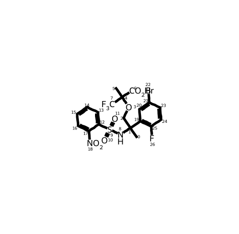 CC(COC(C)(C(=O)O)C(F)(F)F)(NS(=O)(=O)c1ccccc1[N+](=O)[O-])c1cc(Br)ccc1F